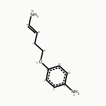 Nc1ccc(OCCC=C[SiH3])cc1